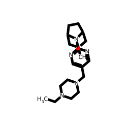 CCN1CCN(Cc2cnc(N3C4CCC3CN(C)C4)nc2)CC1